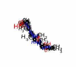 C=CC(=O)Nc1cc(Nc2nc(-c3ccnc(N4CCn5c(cc6c5CC(C)(C)C6)C4=O)c3CO)cn(C)c2=O)ccc1N1CCN(C2CCN(c3cccc(C(C)(C)OP(=O)(O)O)n3)[C@@H](C)C2)C[C@@H]1C